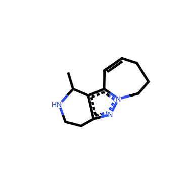 CC1NCCc2nn3c(c21)C=CCCC3